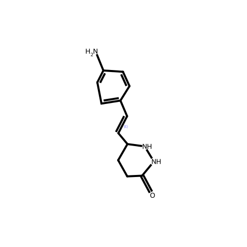 Nc1ccc(/C=C/C2CCC(=O)NN2)cc1